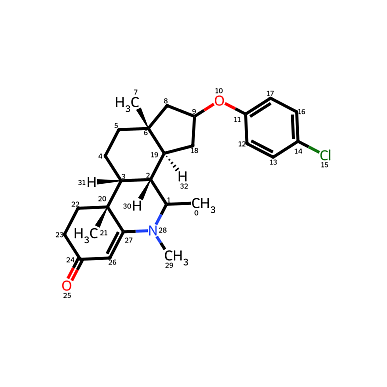 CC1[C@@H]2[C@@H](CC[C@]3(C)CC(Oc4ccc(Cl)cc4)C[C@@H]23)[C@@]2(C)CCC(=O)C=C2N1C